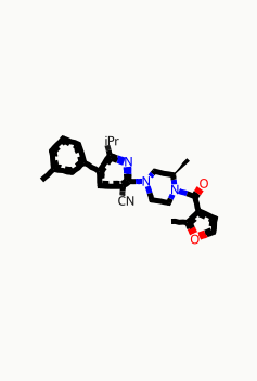 Cc1cccc(-c2cc(C#N)c(N3CCN(C(=O)c4ccoc4C)[C@H](C)C3)nc2C(C)C)c1